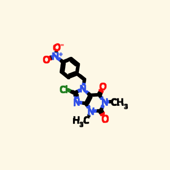 Cn1c(=O)c2c(nc(Cl)n2Cc2ccc([N+](=O)[O-])cc2)n(C)c1=O